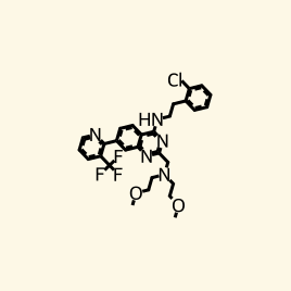 COCCN(CCOC)Cc1nc(NCCc2ccccc2Cl)c2ccc(-c3ncccc3C(F)(F)F)cc2n1